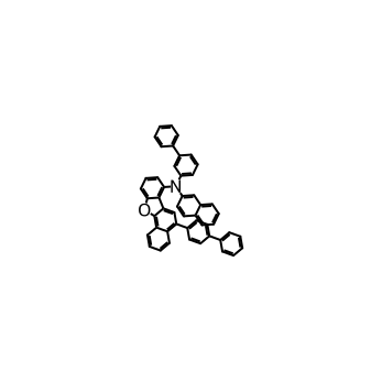 c1ccc(-c2ccc(-c3cc4c(oc5cccc(N(c6cccc(-c7ccccc7)c6)c6ccc7ccccc7c6)c54)c4ccccc34)cc2)cc1